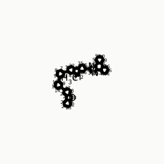 CC1(I)c2cc(-c3cccc(-c4cccc(-c5ccc6oc7ccccc7c6c5)c4)c3)ccc2-c2ccc(-c3cnc4c5ccccc5c5ccccc5c4n3)cc21